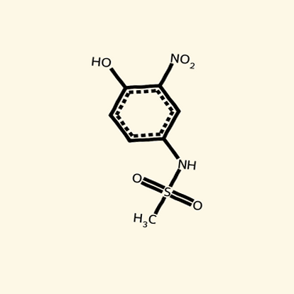 CS(=O)(=O)Nc1ccc(O)c([N+](=O)[O-])c1